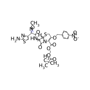 CO/N=C(\C(=O)N[C@@H]1C(=O)N2C(C(=O)OCOC(=O)C(C)(C)C)=C(OCc3ccc([N+](=O)[O-])cc3)CS[C@@H]12)c1csc(N)n1